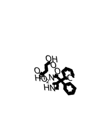 NC(=O)C(c1ccccc1)(c1ccccc1)C1CNC1.O=C(O)C=CC(=O)O